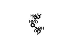 Cc1ccc2c(C(=O)Nc3cccc(C#C[C@]4(O)CCN(C)C4=O)c3)n[nH]c2n1